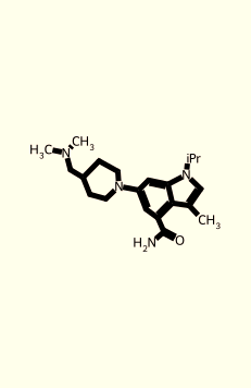 Cc1cn(C(C)C)c2cc(N3CCC(CN(C)C)CC3)cc(C(N)=O)c12